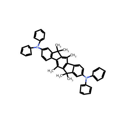 Cc1c2c(c(C)c3c1C(C)(C)c1cc(N(c4ccccc4)c4ccccc4)ccc1-3)C(C)(C)c1cc(N(c3ccccc3)c3ccccc3)ccc1-2